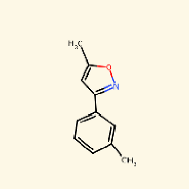 Cc1cccc(-c2cc(C)on2)c1